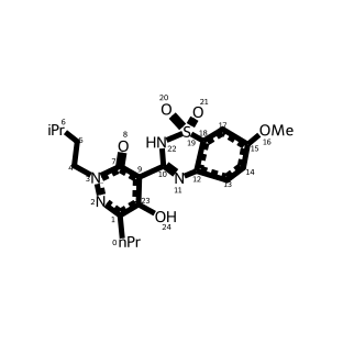 CCCc1nn(CCC(C)C)c(=O)c(C2=Nc3ccc(OC)cc3S(=O)(=O)N2)c1O